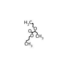 C=CCOC(CC)C(=O)OCCCC